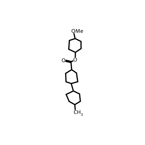 COC1CCC(OC(=O)C2CCC(C3CCC(C)CC3)CC2)CC1